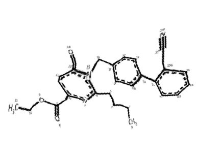 CCCCc1nc(C(=O)OCC)cc(=O)n1Cc1ccc(-c2ccccc2C#N)cc1